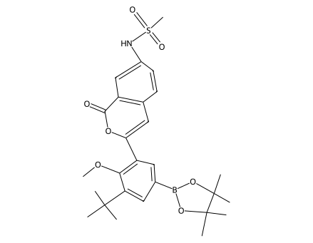 COc1c(-c2cc3ccc(NS(C)(=O)=O)cc3c(=O)o2)cc(B2OC(C)(C)C(C)(C)O2)cc1C(C)(C)C